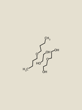 CCCCOCCCC.OCCO.OCCOCCO